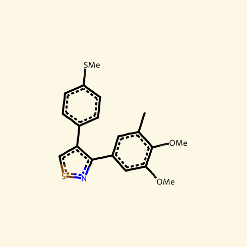 COc1cc(-c2nscc2-c2ccc(SC)cc2)cc(C)c1OC